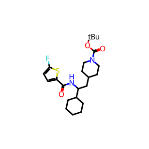 CC(C)(C)OC(=O)N1CCC(CC(NC(=O)c2ccc(F)s2)C2CCCCC2)CC1